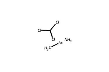 CC(C)=O.ClC(Cl)Cl.N